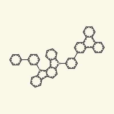 c1ccc(-c2cccc(-n3c4ccccc4c4ccc5c(c6ccccc6n5-c5cccc(-c6ccc7c8ccccc8c8ccccc8c7c6)c5)c43)c2)cc1